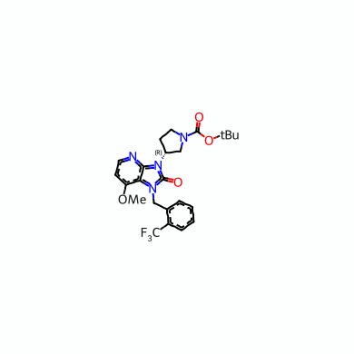 COc1ccnc2c1n(Cc1ccccc1C(F)(F)F)c(=O)n2[C@@H]1CCN(C(=O)OC(C)(C)C)C1